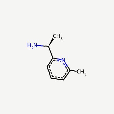 Cc1cccc([C@H](C)N)n1